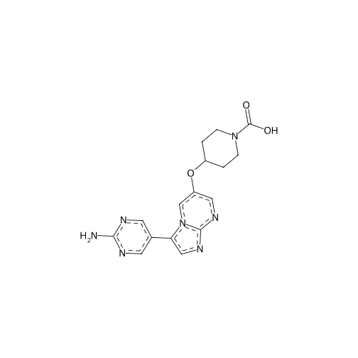 Nc1ncc(-c2cnc3ncc(OC4CCN(C(=O)O)CC4)cn23)cn1